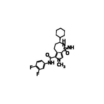 Cn1cc2c(c1C(=O)Nc1ccc(F)c(F)c1)CC[C@@H](C1CCCCC1)NS2(=N)=O